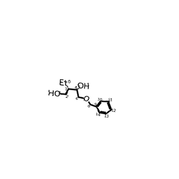 CC[C@@H](CO)[C@H](O)COCc1ccccc1